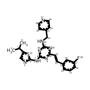 CC(C)c1cnc(Nc2nc(/C=C/c3cccc(F)c3)nc(NCc3ccncc3)n2)s1